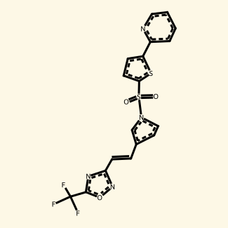 O=S(=O)(c1ccc(-c2ccccn2)s1)n1ccc(C=Cc2noc(C(F)(F)F)n2)c1